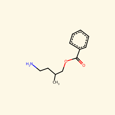 CC(CCN)COC(=O)c1ccccc1